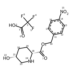 O=C(O)C(F)(F)F.O=C(OCc1ccc([N+](=O)[O-])cc1)[C@H]1CC[C@@H](O)CN1